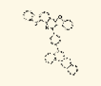 c1ccc2cc3c(cc(-c4ccc(-c5nc6c(ccc7c8ccccc8sc76)c6oc7ccccc7c56)cc4)c4ccccc43)cc2c1